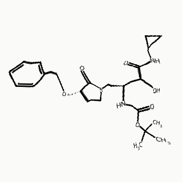 CC(C)(C)OC(=O)N[C@@H](CN1CC[C@H](OCc2ccccc2)C1=O)C(O)C(=O)NC1CC1